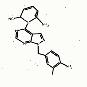 Cc1cc(Cn2ncc3c(N4C(N)=CC=CC4C#N)ncnc32)ccc1N